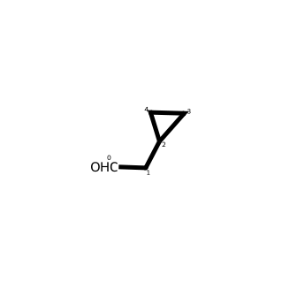 O=CC[C]1CC1